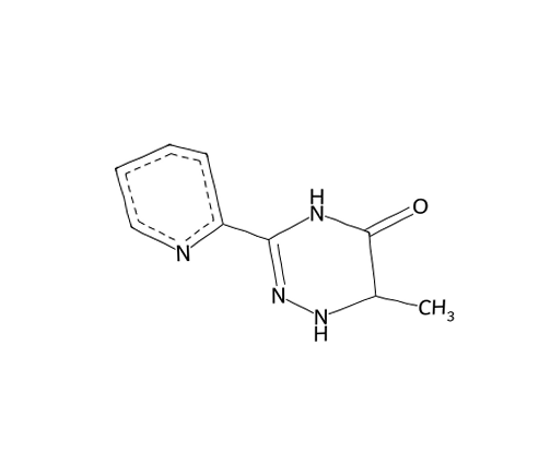 CC1NN=C(c2ccccn2)NC1=O